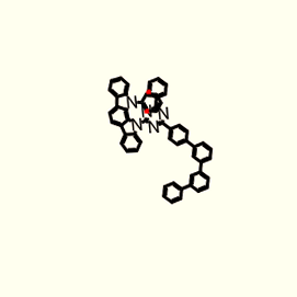 c1ccc(-c2cccc(-c3cccc(-c4ccc(-c5nc(-c6ccccc6)nc(-n6c7ccccc7c7ccc8c9ccccc9n(-c9ccccc9)c8c76)n5)cc4)c3)c2)cc1